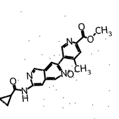 COC(=O)c1cc(C)c(-c2cc3cnc(NC(=O)C4CC4)cc3c[n+]2[O-])cn1